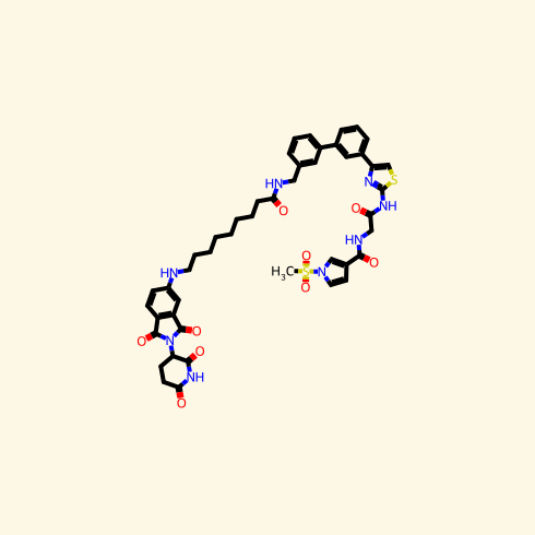 CS(=O)(=O)n1ccc(C(=O)NCC(=O)Nc2nc(-c3cccc(-c4cccc(CNC(=O)CCCCCCCCNc5ccc6c(c5)C(=O)N(C5CCC(=O)NC5=O)C6=O)c4)c3)cs2)c1